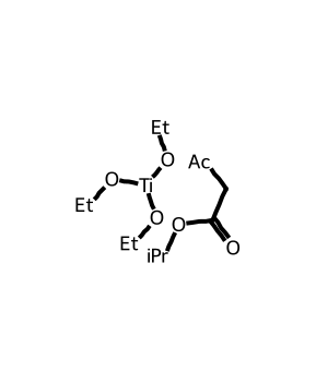 CC(=O)CC(=O)OC(C)C.CC[O][Ti]([O]CC)[O]CC